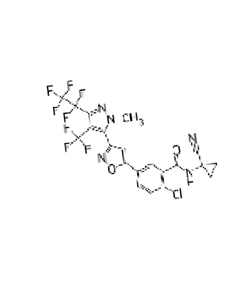 Cn1nc(C(F)(F)C(F)(F)F)c(C(F)(F)F)c1-c1cc(-c2ccc(Cl)c(C(=O)NC3(C#N)CC3)c2)on1